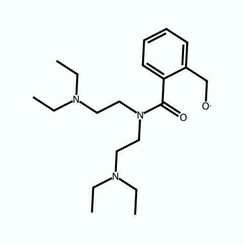 CCN(CC)CCN(CCN(CC)CC)C(=O)c1ccccc1C[O]